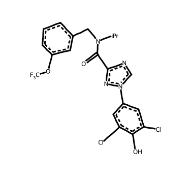 CC(C)N(Cc1cccc(OC(F)(F)F)c1)C(=O)c1ncn(-c2cc(Cl)c(O)c(Cl)c2)n1